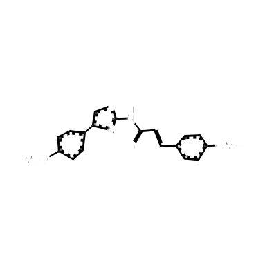 COc1ccc(C=CC(=O)Nc2nc(-c3ccc(OC)cc3)cs2)cc1